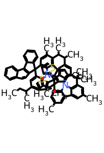 CCC(C)c1cc2c3c(c1)C1(c4ccccc4-c4c1ccc1ccccc41)c1cc(C)c(C(C)C(C)c4cc5c6c(c4)C(c4cccs4)(c4cccs4)c4cc(C)cc7c8cc(C)cc(c8n-6c47)C5(C)C)c4c5cc(C)cc(c5n-3c14)C2(C)C